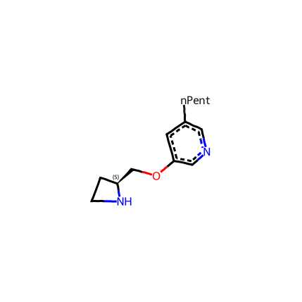 CCCCCc1cncc(OC[C@@H]2CCN2)c1